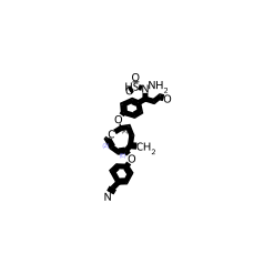 C=C1CC[C@@H](Oc2ccc(C(CC=O)N(N)[SH](=O)=O)cc2)C/C=C\C=C/1Oc1ccc(C#N)cc1